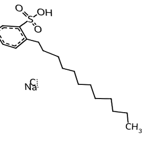 CCCCCCCCCCCCc1ccccc1S(=O)(=O)O.[C].[Na]